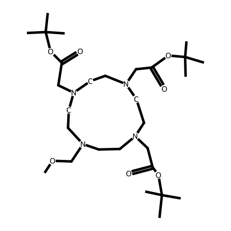 COCN1CCN(CC(=O)OC(C)(C)C)CCN(CC(=O)OC(C)(C)C)CCN(CC(=O)OC(C)(C)C)CC1